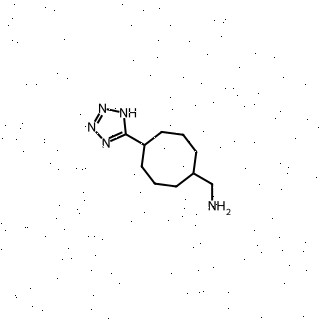 NCC1CCCC(c2nnn[nH]2)CCC1